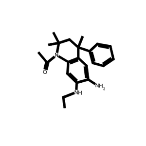 CCNc1cc2c(cc1N)C(C)(c1ccccc1)CC(C)(C)N2C(C)=O